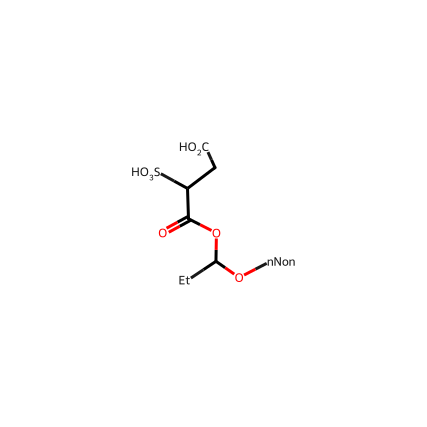 CCCCCCCCCOC(CC)OC(=O)C(CC(=O)O)S(=O)(=O)O